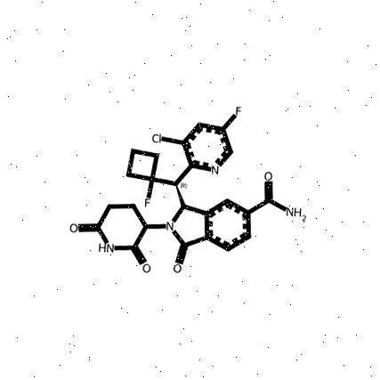 NC(=O)c1ccc2c(c1)C([C@H](c1ncc(F)cc1Cl)C1(F)CCC1)N(C1CCC(=O)NC1=O)C2=O